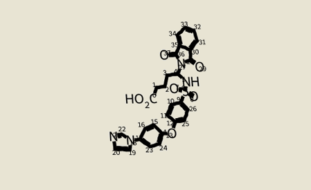 O=C(O)CCCC(NS(=O)(=O)c1ccc(Oc2ccc(-n3ccnc3)cc2)cc1)N1C(=O)c2ccccc2C1=O